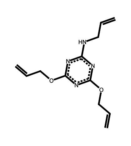 C=CCNc1nc(OCC=C)nc(OCC=C)n1